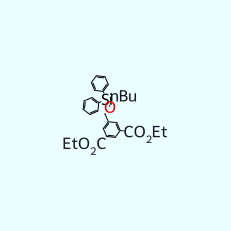 CCCC[Si](OCc1cc(C(=O)OCC)cc(C(=O)OCC)c1)(c1ccccc1)c1ccccc1